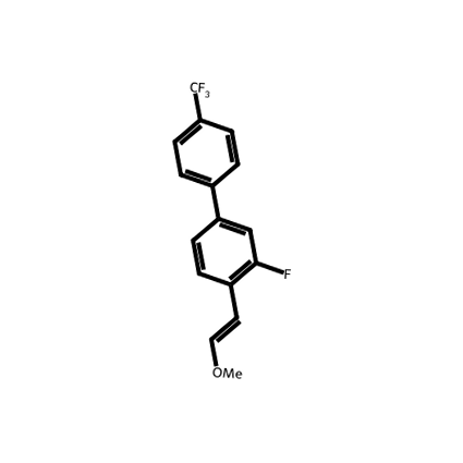 COC=Cc1ccc(-c2ccc(C(F)(F)F)cc2)cc1F